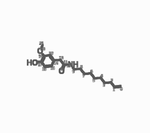 C=CCCCCCCCCNC(=O)Cc1ccc(O)c(OC)c1